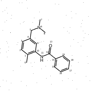 Cc1ccc(CN(C)C)cc1NC(=O)c1ccccc1